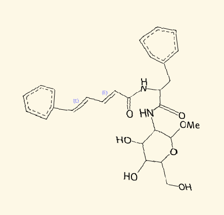 COC1OC(CO)C(O)C(O)C1NC(=O)C(Cc1ccccc1)NC(=O)/C=C/C=C/c1ccccc1